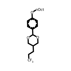 CCCCCCCCOc1ccc(C2OCC(CCC(F)(F)F)CO2)cc1